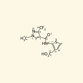 Cn1cc(C(=O)Nc2sccc2C(=O)O)c(C(F)(F)F)n1